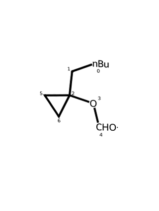 CCCCCC1(O[C]=O)CC1